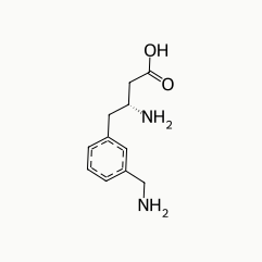 NCc1cccc(C[C@@H](N)CC(=O)O)c1